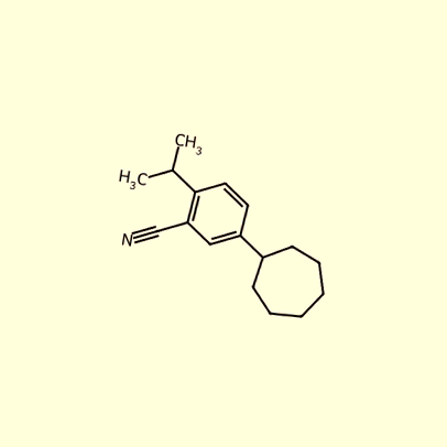 CC(C)c1ccc(C2CCCCCC2)cc1C#N